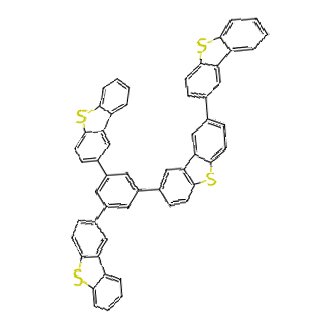 c1ccc2c(c1)sc1ccc(-c3cc(-c4ccc5sc6ccccc6c5c4)cc(-c4ccc5sc6ccc(-c7ccc8sc9ccccc9c8c7)cc6c5c4)c3)cc12